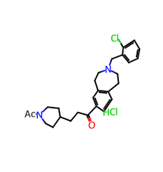 CC(=O)N1CCC(CCC(=O)c2ccc3c(c2)CCN(Cc2ccccc2Cl)CC3)CC1.Cl